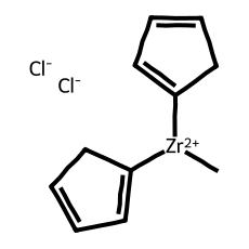 [CH3][Zr+2]([C]1=CC=CC1)[C]1=CC=CC1.[Cl-].[Cl-]